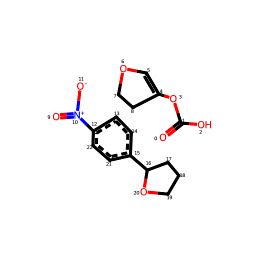 O=C(O)OC1=COCC1.O=[N+]([O-])c1ccc(C2CCCO2)cc1